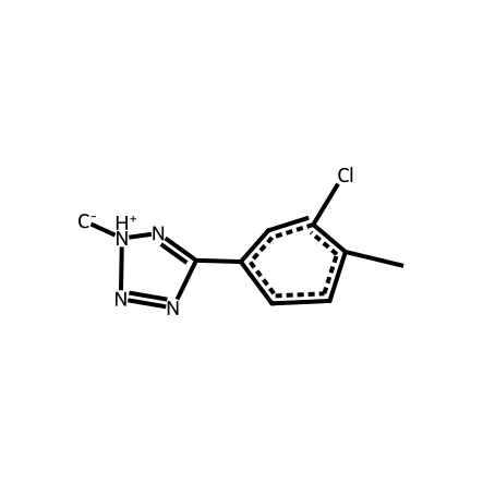 [CH2-][NH+]1N=NC(c2ccc(C)c(Cl)c2)=N1